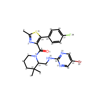 Cc1nc(C(=O)N2CCCC(C)(C)C2CNc2ncc(Br)cn2)c(-c2ccc(F)cc2)s1